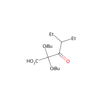 CCC(CC)C(=O)C(OCC(C)C)(OCC(C)C)C(=O)O